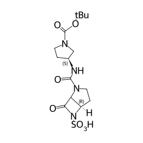 CC(C)(C)OC(=O)N1CC[C@H](NC(=O)N2CC[C@@H]3C2C(=O)N3S(=O)(=O)O)C1